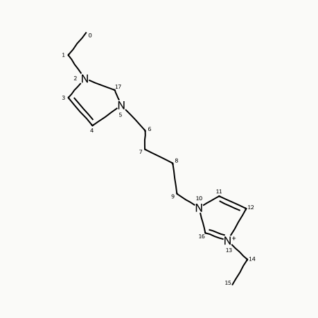 CCN1C=CN(CCCCn2cc[n+](CC)c2)C1